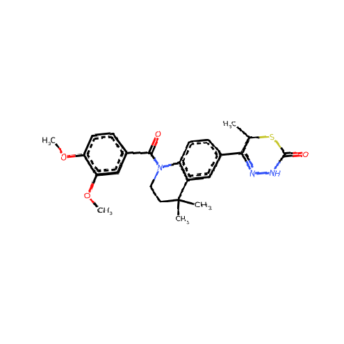 COc1ccc(C(=O)N2CCC(C)(C)c3cc(C4=NNC(=O)SC4C)ccc32)cc1OC